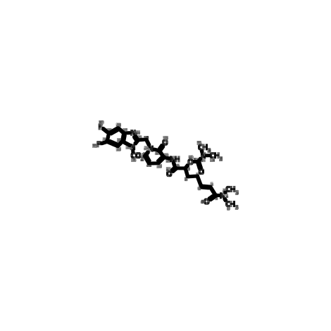 CN(C)C(=O)C=CCCC(OC(=O)N(C)C)C(=O)Nc1cccn(Cc2nc3cc(F)c(F)cc3n2C(=O)O)c1=O